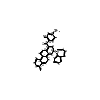 C1=CNc2ccccc2C=C1.Cc1cc(N)ccc1C(=O)C1=c2ccc3c(c2CCC1)CC=c1c(F)cccc1=3